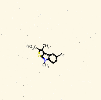 CC(=O)c1ccc2c(c1)c1c(C)c(C(=O)O)sc1n2C